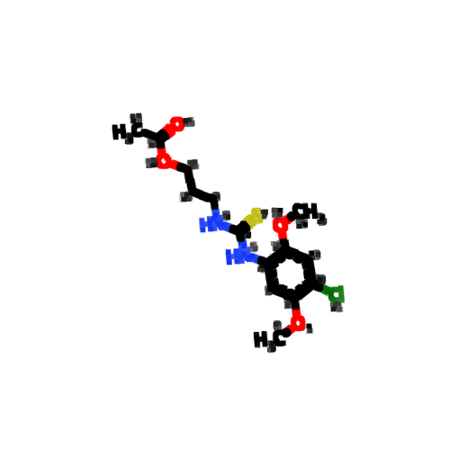 COc1cc(NC(=S)NCCCOC(C)=O)c(OC)cc1Cl